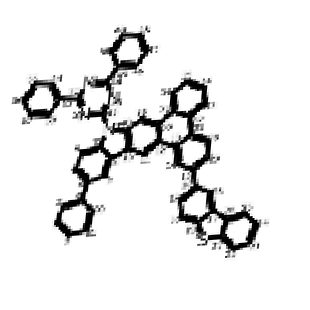 c1ccc(-c2ccc3c(c2)c2cc4c5cc(-c6ccc7sc8ccccc8c7c6)ccc5c5ccccc5c4cc2n3-c2nc(-c3ccccc3)nc(-c3ccccc3)n2)cc1